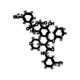 COc1c(O)cc(C(Oc2ccncn2)C(C(=O)Nc2cccc(C(C)C)c2)N2CCOCC2)cc1NS(=O)(=O)c1cccc(C(C)(C)C)c1